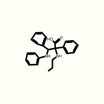 CCCNC(C(=O)O)(c1ccccc1)C(Nc1ccccc1)c1ccccc1